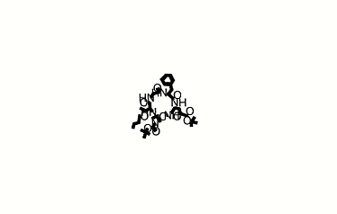 CCCCOC(C)C1NC2(CNC(=O)C(CCC(=O)OC(C)(C)C)NC(=O)C(Cc3ccccc3)NC(=O)CNC1=O)CN(C(=O)OC(C)(C)C)C2